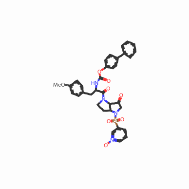 COc1ccc(CC(NC(=O)Oc2ccc(-c3ccccc3)cc2)C(=O)N2CCC3C2C(=O)CN3S(=O)(=O)c2ccc[n+]([O-])c2)cc1